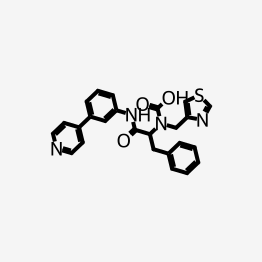 O=C(Nc1cccc(-c2ccncc2)c1)C(Cc1ccccc1)N(Cc1cscn1)C(=O)O